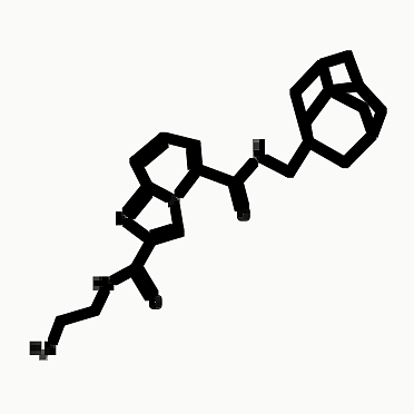 NCCNC(=O)c1cn2c(C(=O)NCC34CC5CC6CC(C3)C6(C5)C4)cccc2n1